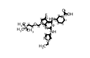 CCn1cc(Nc2nc(NC3CCCN(C(=O)O)C3)c3c(F)cn(COCC[Si](C)(C)C)c3n2)cn1